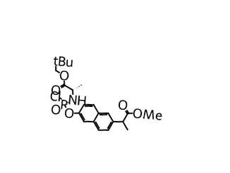 COC(=O)C(C)c1ccc2cc(OP(=O)(Cl)N[C@@H](C)C(=O)OCC(C)(C)C)ccc2c1